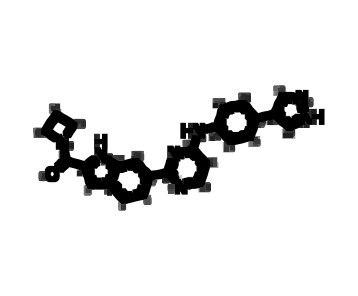 O=C(c1cc2ccc(-c3nccc(Nc4ccc(-c5cn[nH]c5)cc4)n3)cc2[nH]1)N1CCC1